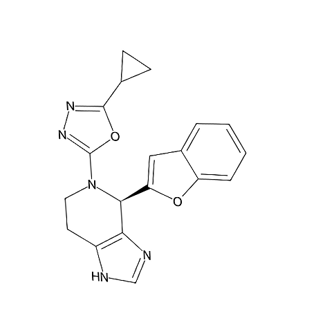 c1ccc2oc([C@H]3c4nc[nH]c4CCN3c3nnc(C4CC4)o3)cc2c1